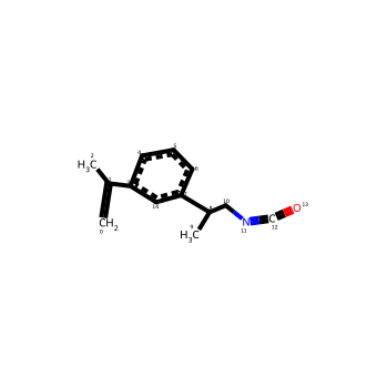 C=C(C)c1cccc(C(C)CN=C=O)c1